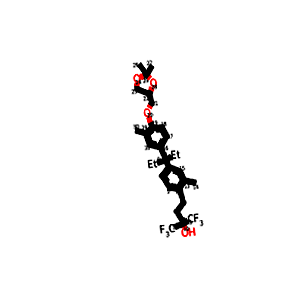 CCC(CC)(c1ccc(CCC(O)(C(F)(F)F)C(F)(F)F)c(C)c1)c1ccc(OCC2COC(C)(C)O2)c(C)c1